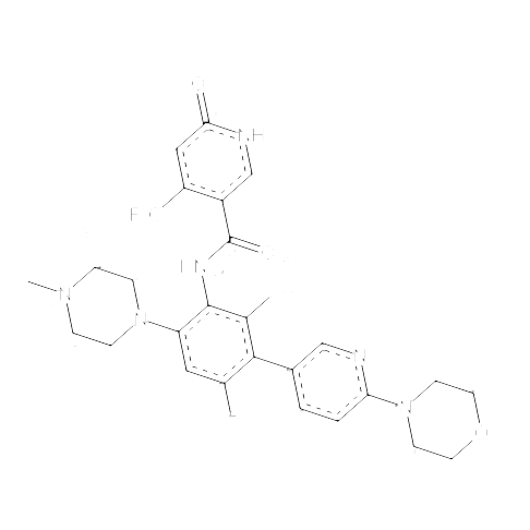 C[C@@H]1CN(c2cc(F)c(-c3ccc(N4CCOCC4)nc3)c(F)c2NC(=O)c2c[nH]c(=O)cc2C(F)(F)F)C[C@H](C)N1C